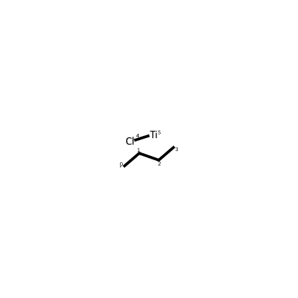 [CH2]CCC.[Cl][Ti]